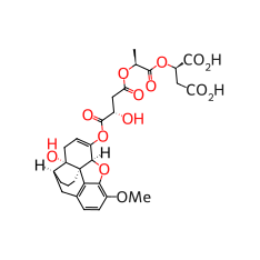 COc1ccc2c3c1O[C@@H]1C(OC(=O)[C@@H](O)CC(=O)O[C@@H](C)C(=O)O[C@H](CC(=O)O)C(=O)O)=CC[C@]4(O)[C@@H](CCC[C@@]314)C2